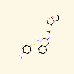 O=C(N[C@@H](Cc1ccccc1)[C@@H](O)CNS(=O)(=O)c1ccc([N+](=O)[O-])cc1)O[C@H]1CO[C@H]2OCC[C@H]21